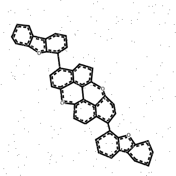 c1ccc2c(c1)oc1c(-c3ccc4oc5ccc6c(-c7cccc8c7oc7ccccc78)ccc7oc8ccc3c4c8-c5c76)cccc12